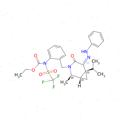 CCOC(=O)N(c1ccccc1CN1C(=O)/C(=N\Nc2ccccc2)[C@]2(C(C)C)C[C@@H]2[C@H]1C)S(=O)(=O)C(F)(F)F